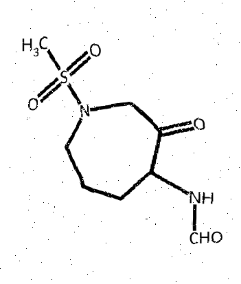 CS(=O)(=O)N1CCCC(NC=O)C(=O)C1